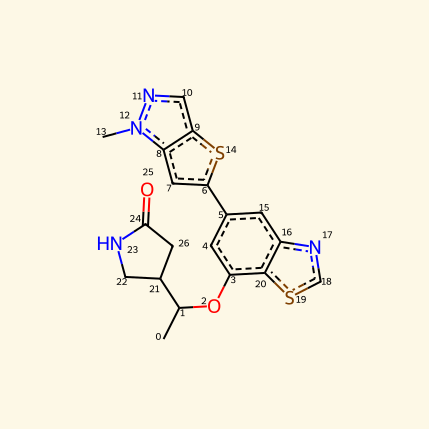 CC(Oc1cc(-c2cc3c(cnn3C)s2)cc2ncsc12)C1CNC(=O)C1